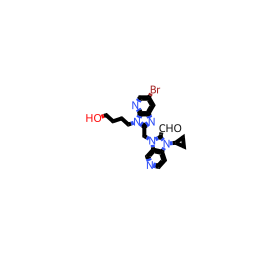 O=CC1N(Cc2nc3cc(Br)cnc3n2CCCCO)c2cnccc2N1C1CC1